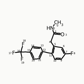 CNC(=O)Cc1cc(F)ccc1-c1ccc(C(F)(F)F)cc1